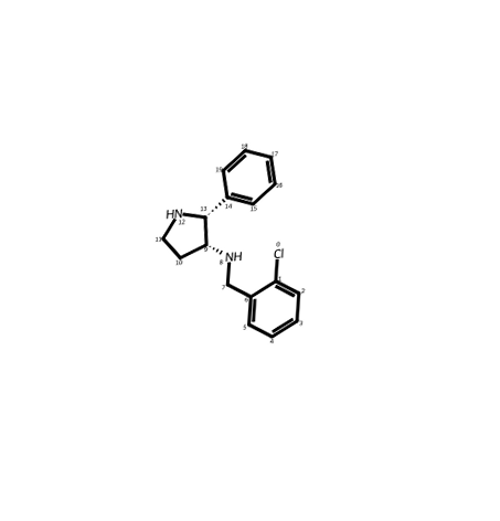 Clc1ccccc1CN[C@@H]1CCN[C@@H]1c1ccccc1